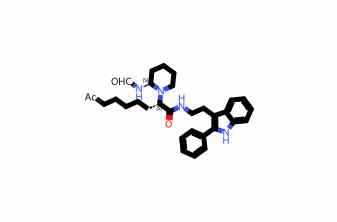 CC(=O)CCCCC[C@@H](C(=O)NCCc1c(-c2ccccc2)[nH]c2ccccc12)N1CCCC[C@H]1NC=O